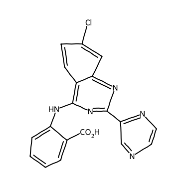 O=C(O)c1ccccc1Nc1nc(-c2cnccn2)nc2cc(Cl)ccc12